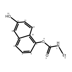 CCNC(=O)Oc1cccc2cc(O)ccc12